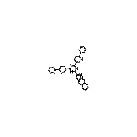 c1ccc(-c2ccc(-c3nc(-c4ccc(-c5ccccn5)nc4)nc(-c4cc5cc6ccccc6cn5n4)n3)cn2)nc1